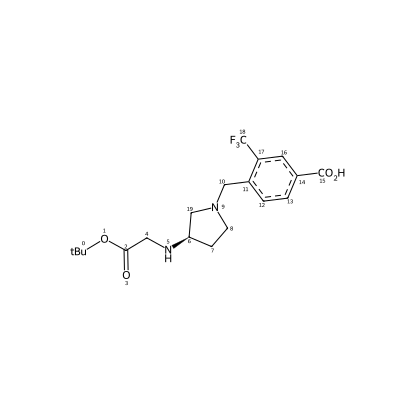 CC(C)(C)OC(=O)CN[C@@H]1CCN(Cc2ccc(C(=O)O)cc2C(F)(F)F)C1